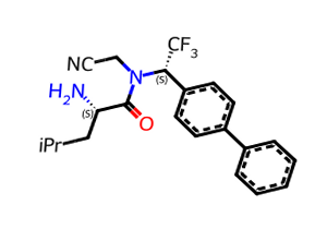 CC(C)C[C@H](N)C(=O)N(CC#N)[C@@H](c1ccc(-c2ccccc2)cc1)C(F)(F)F